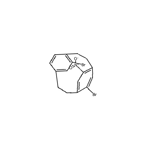 O=[N+]([O-])c1cc2c(Br)cc1CCc1ccc(cc1Br)CC2